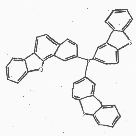 c1ccc2c(c1)oc1c3cc(N(c4ccc5sc6ccccc6c5c4)c4ccc5sc6ccccc6c5c4)ccc3ccc21